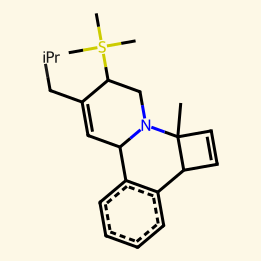 CC(C)CC1=CC2c3ccccc3C3C=CC3(C)N2CC1S(C)(C)C